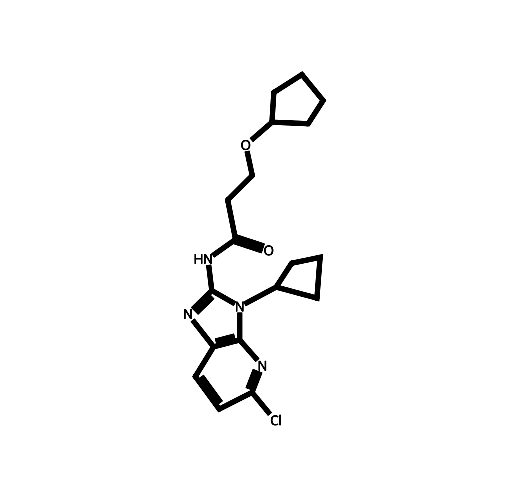 O=C(CCOC1CCCC1)Nc1nc2ccc(Cl)nc2n1C1CCC1